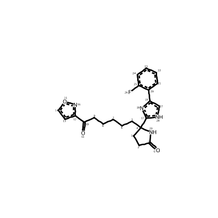 O=C1CCC(CCCCCC(=O)c2ccon2)(c2nc(-c3ccccc3F)c[nH]2)N1